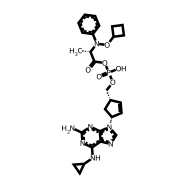 C[C@@H](C(=O)OP(=O)(O)OC[C@@H]1C=C[C@H](n2cnc3c(NC4CC4)nc(N)nc32)C1)N(OC1CCC1)c1ccccc1